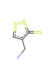 S=c1sscc1CI